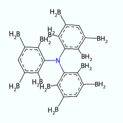 Bc1cc(B)c(B)c(N(c2c(B)c(B)cc(B)c2B)c2c(B)c(B)cc(B)c2B)c1B